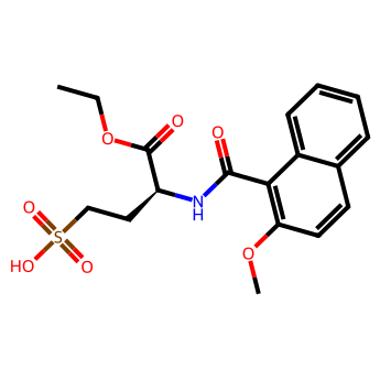 CCOC(=O)[C@H](CCS(=O)(=O)O)NC(=O)c1c(OC)ccc2ccccc12